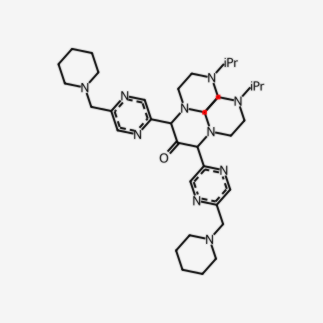 CC(C)N1CCN(C(C(=O)C(c2cnc(CN3CCCCC3)cn2)N2CCN(C(C)C)CC2)c2cnc(CN3CCCCC3)cn2)CC1